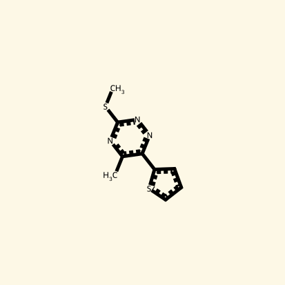 CSc1nnc(-c2cccs2)c(C)n1